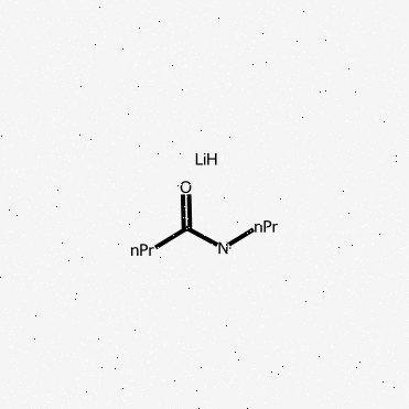 CCC[N]C(=O)CCC.[LiH]